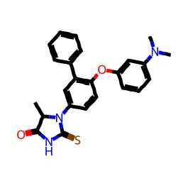 CC1C(=O)NC(=S)N1c1ccc(Oc2cccc(N(C)C)c2)c(-c2ccccc2)c1